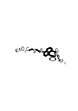 CCOC(=O)CCSCCSc1ccc2c3c(cccc13)C(=O)N(OSC(F)(F)F)C2=O